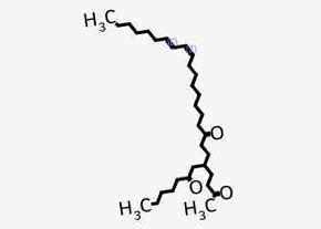 CCCCCC/C=C/C=C\CCCCCCCC(=O)CCC(CCC(C)=O)CC(=O)CCCCC